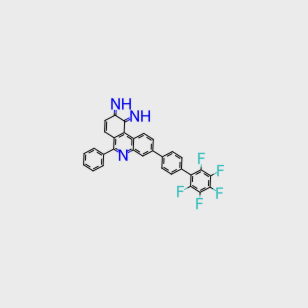 N=C1C=Cc2c(-c3ccccc3)nc3cc(-c4ccc(-c5c(F)c(F)c(F)c(F)c5F)cc4)ccc3c2C1=N